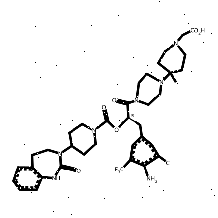 CC1(N2CCN(C(=O)[C@@H](Cc3cc(Cl)c(N)c(C(F)(F)F)c3)OC(=O)N3CCC(N4CCc5ccccc5NC4=O)CC3)CC2)CCN(CC(=O)O)CC1